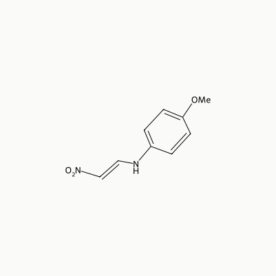 COc1ccc(NC=C[N+](=O)[O-])cc1